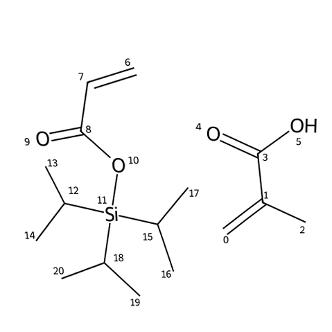 C=C(C)C(=O)O.C=CC(=O)O[Si](C(C)C)(C(C)C)C(C)C